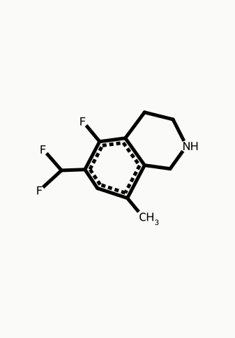 Cc1cc(C(F)F)c(F)c2c1CNCC2